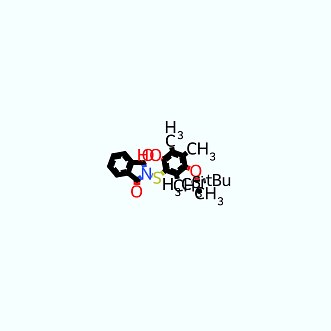 Cc1c(C)c(O[Si](C)(C)C(C)(C)C)c(C)c(SN2C(=O)c3ccccc3C2=O)c1O